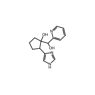 OC(c1ccccn1)C1(O)CCCC1c1c[nH]cn1